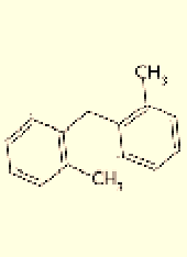 Cc1ccc[c]c1Cc1[c]cccc1C